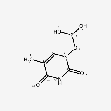 Cc1cn(OP(O)O)c(=O)[nH]c1=O